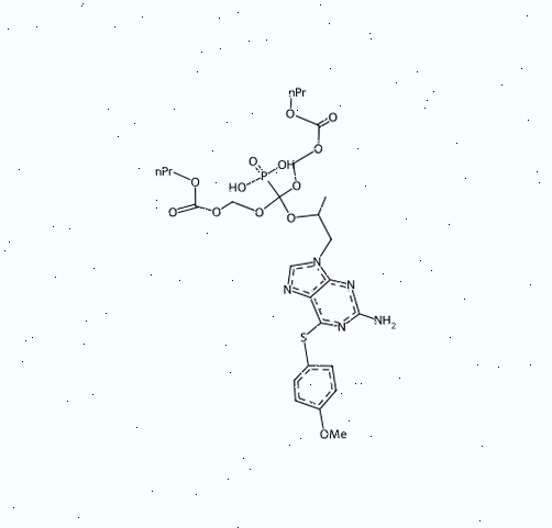 CCCOC(=O)OCOC(OCOC(=O)OCCC)(OC(C)Cn1cnc2c(Sc3ccc(OC)cc3)nc(N)nc21)P(=O)(O)O